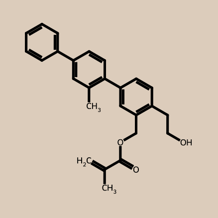 C=C(C)C(=O)OCc1cc(-c2ccc(-c3ccccc3)cc2C)ccc1CCO